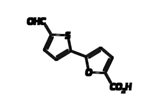 O=Cc1ccc(-c2ccc(C(=O)O)o2)s1